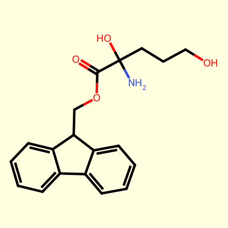 NC(O)(CCCO)C(=O)OCC1c2ccccc2-c2ccccc21